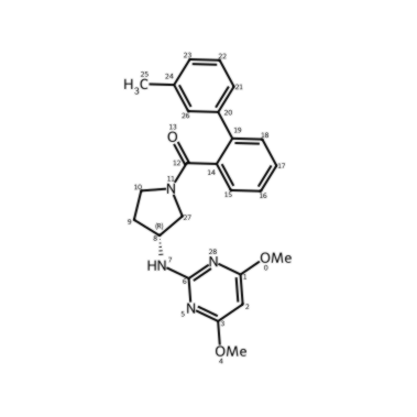 COc1cc(OC)nc(N[C@@H]2CCN(C(=O)c3ccccc3-c3cccc(C)c3)C2)n1